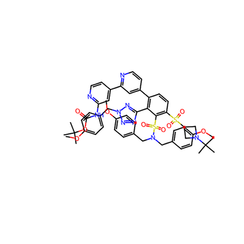 COc1ccc(CN(Cc2ccc(OC)cc2)S(=O)(=O)c2c(S(=O)(=O)C3CN(C(C)(C)C)C3)ccc(-c3ccnc(-c4ccnc(NC(=O)OC(C)(C)C)c4)c3)c2-c2nnn(Cc3ccc(OC)cc3)n2)cc1